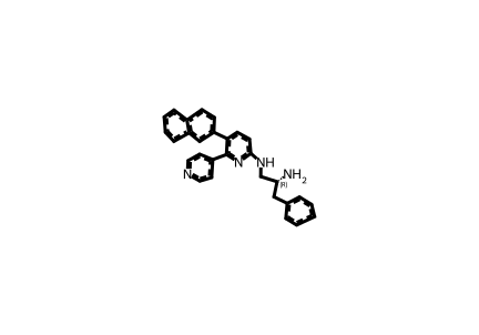 N[C@@H](CNc1ccc(-c2ccc3ccccc3c2)c(-c2ccncc2)n1)Cc1ccccc1